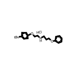 CC(C)(C)c1ccc(OCCNCCCOc2ccccc2)cc1.Cl